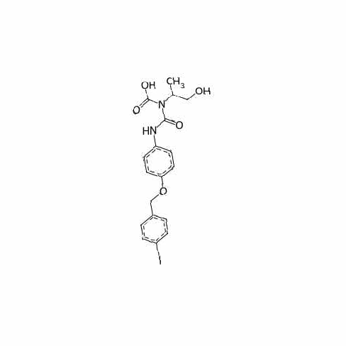 CC(CO)N(C(=O)O)C(=O)Nc1ccc(OCc2ccc(I)cc2)cc1